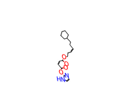 O=C(/C=C\C(=O)Oc1ncc[nH]1)OCC/C=C\CCC1CCCCC1